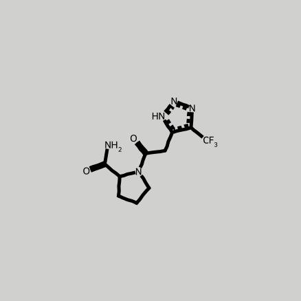 NC(=O)C1CCCN1C(=O)Cc1[nH]nnc1C(F)(F)F